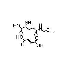 CCNC(=O)CC[C@H](N)C(=O)O.O=C(O)/C=C/C(=O)O